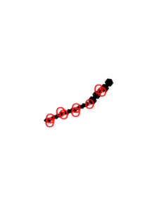 C=CC(=O)OCCCCCC(=O)OCCCCCC(=O)OCCCCCCOC1CCC(c2ccc(C(=O)Oc3ccc(-c4ccccc4)cc3)cc2)CC1